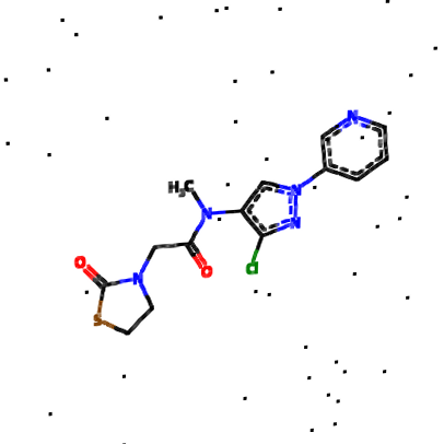 CN(C(=O)CN1CCSC1=O)c1cn(-c2cccnc2)nc1Cl